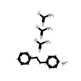 NC(=O)[O-].NC(=O)[O-].NC(=O)[O-].[Nd+3].c1ccc(CCc2ccccc2)cc1